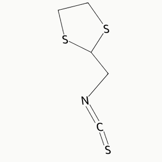 S=C=NCC1SCCS1